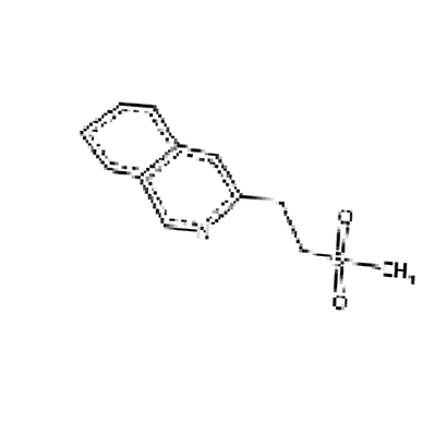 CS(=O)(=O)CCc1cc2ccccc2cn1